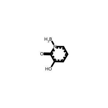 Bn1cccc(O)c1=O